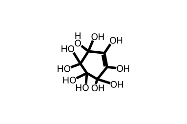 OC1=C(O)C(O)(O)C(O)(O)C(O)(O)C1(O)O